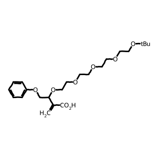 C=C(C(=O)O)C(COc1ccccc1)OCCOCCOCCOCCOC(C)(C)C